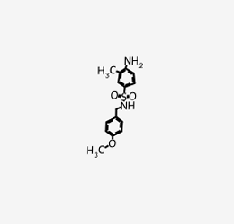 COc1ccc(CNS(=O)(=O)c2ccc(N)c(C)c2)cc1